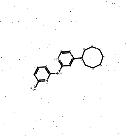 FC(F)(F)c1cccc(Nc2cc(C3CCCCCCC3)ccn2)n1